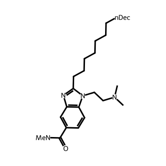 CCCCCCCCCCCCCCCCCc1nc2cc(C(=O)NC)ccc2n1CCN(C)C